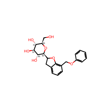 OC[C@H]1O[C@@H](C2Cc3cccc(COc4ccccc4)c3O2)[C@H](O)[C@@H](O)[C@@H]1O